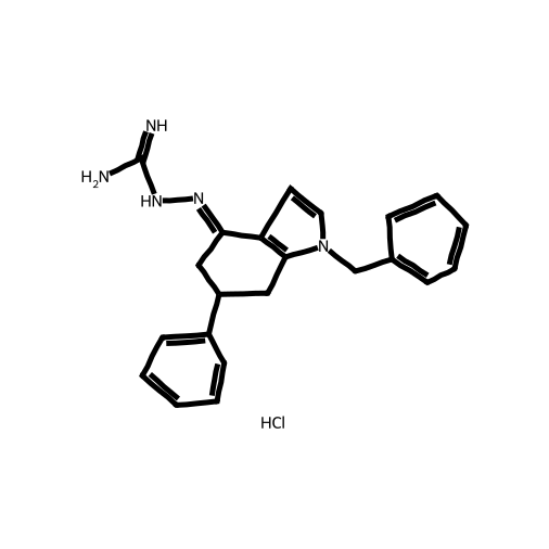 Cl.N=C(N)N/N=C1\CC(c2ccccc2)Cc2c1ccn2Cc1ccccc1